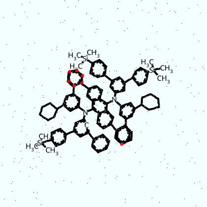 C[Si](C)(C)c1ccc(-c2cc(-c3ccccc3)cc(N(c3cc(C4CCCCC4)cc(C4CCCCC4)c3)c3c4ccc(-c5ccccc5)cc4c(N(c4cc(-c5ccc([Si](C)(C)C)cc5)cc(-c5ccc([Si](C)(C)C)cc5)c4)c4cc(C5CCCCC5)cc(C5CCCCC5)c4)c4ccc(-c5ccccc5)cc34)c2)cc1